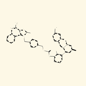 CCCCc1nc2c(N)nc3ccccc3c2n1Cc1ccc(CNC(=S)Nc2cccc(-c3cc(=O)cc4oc5cc(O)ccc5cc3-4)c2C(=O)O)cc1